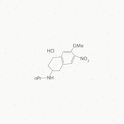 CCCNC1CCc2cc(OC)c([N+](=O)[O-])cc2C1.Cl